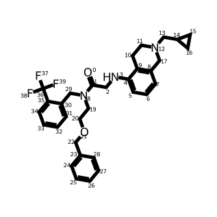 O=C(CNc1cccc2c1CCN(CC1CC1)C2)N(CCOCc1ccccc1)Cc1ccccc1C(F)(F)F